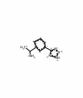 CC(N)c1cccc(-c2nn[nH]n2)c1